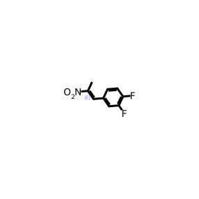 C/C(=C\c1ccc(F)c(F)c1)[N+](=O)[O-]